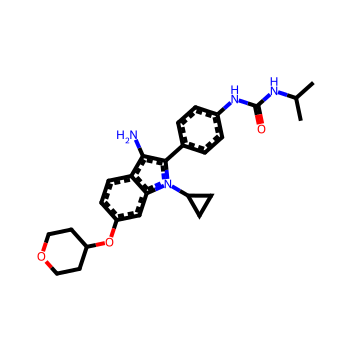 CC(C)NC(=O)Nc1ccc(-c2c(N)c3ccc(OC4CCOCC4)cc3n2C2CC2)cc1